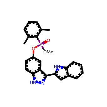 COP(=O)(Oc1ccc2[nH]nc(-c3cc4ccccc4[nH]3)c2c1)c1c(C)cccc1C